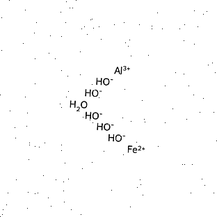 O.[Al+3].[Fe+2].[OH-].[OH-].[OH-].[OH-].[OH-]